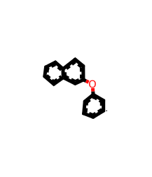 [c]1cccc(Oc2ccc3ccccc3c2)c1